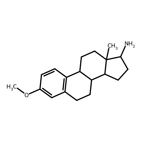 COc1ccc2c(c1)CCC1C2CCC2(C)C(N)CCC12